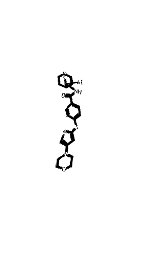 O=C(N[C@H]1CN2CCC1CC2)c1ccc(Sc2cc(N3CCOCC3)cs2)cc1